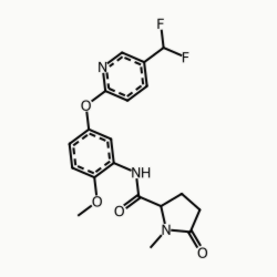 COc1ccc(Oc2ccc(C(F)F)cn2)cc1NC(=O)C1CCC(=O)N1C